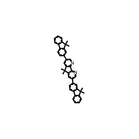 CC1(C)c2ccccc2-c2ccc(-c3cnc4c(c3)C(C)(C)c3cc(-c5ccc6c(c5)C(C)(C)c5ccccc5-6)cnc3-4)cc21